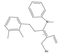 C=C/C(CC(C)=O)=C(/CCc1cccc(C)c1C)N(C)c1ccccc1